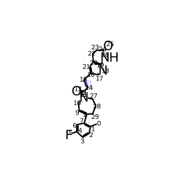 Cc1ccc(F)cc1C1=CCN(C(=O)/C=C/c2cnc3c(c2)CCC(=O)N3)CCC1